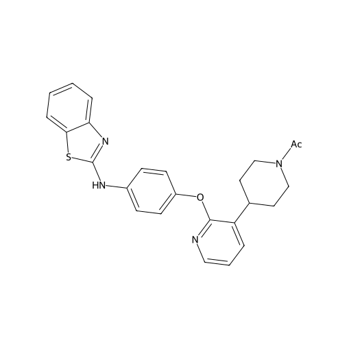 CC(=O)N1CCC(c2cccnc2Oc2ccc(Nc3nc4ccccc4s3)cc2)CC1